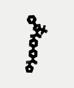 O=C(NC1CCCC1)c1ccc(-c2ccc(NC(=O)c3nc(-c4ccccc4)oc3C(F)(F)F)cn2)cc1